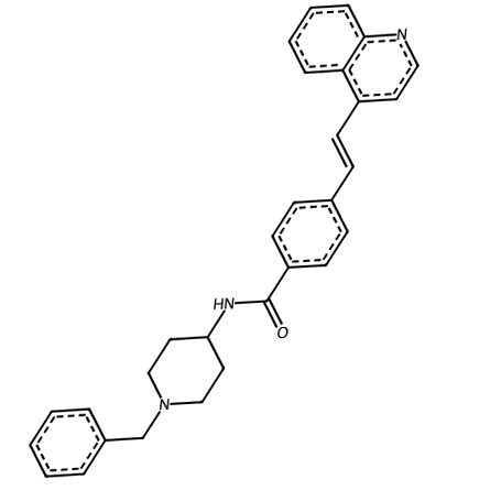 O=C(NC1CCN(Cc2ccccc2)CC1)c1ccc(/C=C/c2ccnc3ccccc23)cc1